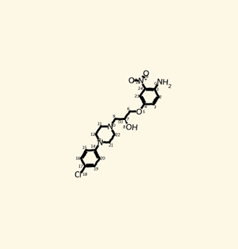 Nc1ccc(OC[C@@H](O)CN2CCN(c3ccc(Cl)cc3)CC2)cc1[N+](=O)[O-]